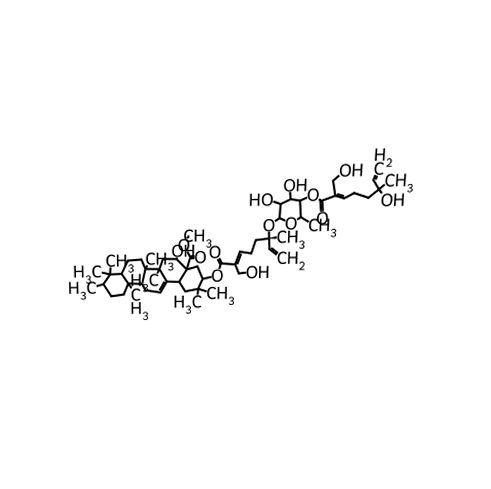 C=CC(C)(O)CC/C=C(\CO)C(=O)OC1C(C)OC(O[C@](C)(C=C)CC/C=C(\CO)C(=O)OC2CC3(C(=O)OC)C(O)CC4(C)C(=CCC5C6(C)CCC(C)C(C)(C)C6CCC54C)C3CC2(C)C)C(O)C1O